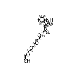 C#CCOCCOCCOCCOCCC(=O)N1CC2(C1)C(=O)Nc1ccncc12